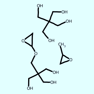 CC1CO1.OCC(CO)(CO)CO.OCC(CO)(CO)COC1CO1